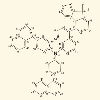 CC1(C)c2ccccc2-c2c(-c3cccc4c(N(c5ccc(-c6cccc7ccccc67)cc5)c5ccc(-c6cccc7ccccc67)cc5)cccc34)cccc21